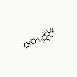 CC(C)[C@H](C(=O)NO)N1C(=O)N[C@@H](CCc2ccc(-c3ccccc3)cc2)CC1O